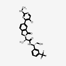 CNc1ncc(Cl)c(-c2ccc3c(c2)C(=O)N([C@H](C)C(=O)N[C@H](CO)c2cccc(C(F)(F)F)c2)C3)n1